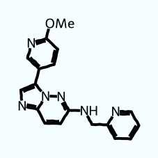 COc1ccc(-c2cnc3ccc(NCc4ccccn4)nn23)cn1